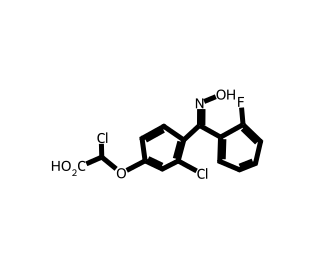 O=C(O)C(Cl)Oc1ccc(C(=NO)c2ccccc2F)c(Cl)c1